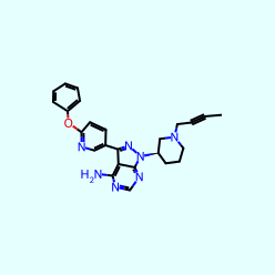 CC#CCN1CCC[C@@H](n2nc(-c3ccc(Oc4ccccc4)nc3)c3c(N)ncnc32)C1